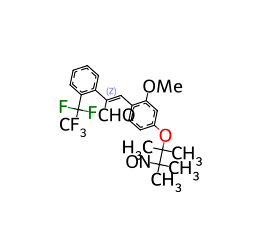 COc1cc(OC(C)(C)C(C)(C)N=O)ccc1/C=C(\C=O)c1ccccc1C(F)(F)C(F)(F)F